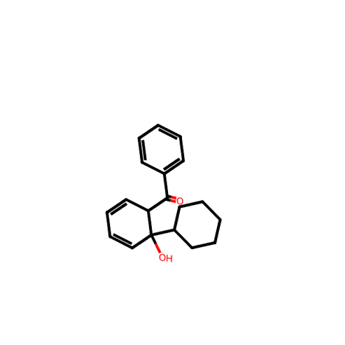 O=C(c1ccccc1)C1C=CC=CC1(O)C1CCCCC1